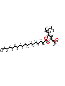 CCCCCCCCCCCCCCCCCC(=O)OC(CCCCC)C1CO1